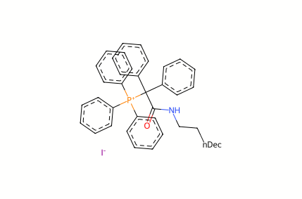 CCCCCCCCCCCCNC(=O)C(c1ccccc1)(c1ccccc1)[P+](c1ccccc1)(c1ccccc1)c1ccccc1.[I-]